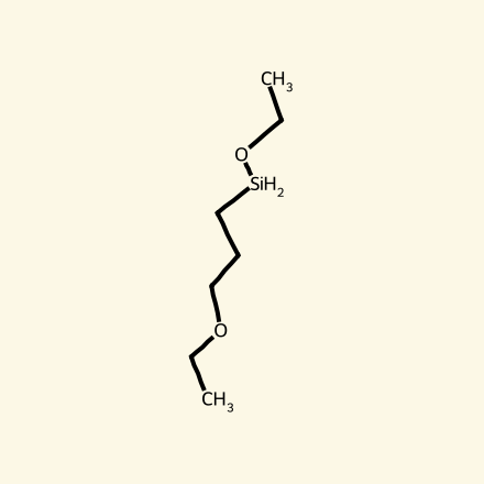 CCOCCC[SiH2]OCC